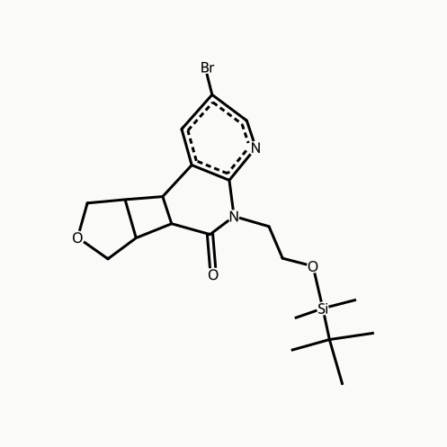 CC(C)(C)[Si](C)(C)OCCN1C(=O)C2C3COCC3C2c2cc(Br)cnc21